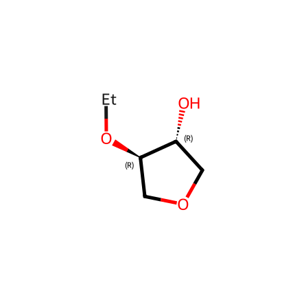 CCO[C@@H]1COC[C@H]1O